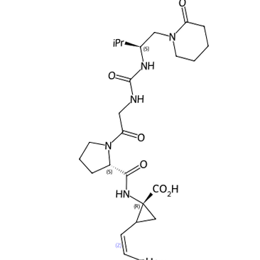 CCCCCC/C=C\C1C[C@]1(NC(=O)[C@@H]1CCCN1C(=O)CNC(=O)N[C@H](CN1CCCCC1=O)C(C)C)C(=O)O